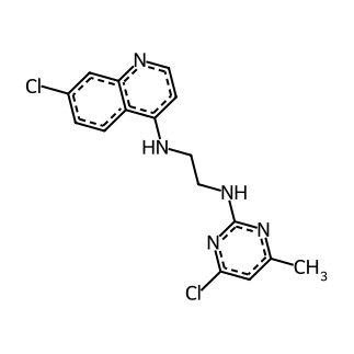 Cc1cc(Cl)nc(NCCNc2ccnc3cc(Cl)ccc23)n1